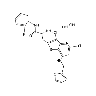 Cl.Cl.N[C@H](Cc1sc2c(NCc3ccco3)cc(Cl)nc2c1Cl)C(=O)Nc1ccccc1F